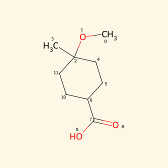 COC1(C)CCC(C(=O)O)CC1